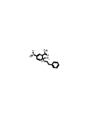 NC1(NCCc2ccccc2)C=CC([N+](=O)[O-])=CC1C(=O)O